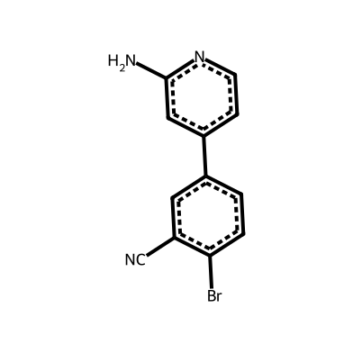 N#Cc1cc(-c2ccnc(N)c2)ccc1Br